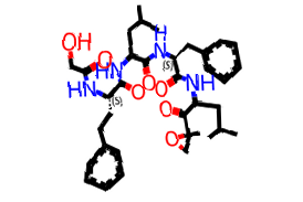 CC(C)CC(NC(=O)[C@H](CCc1ccccc1)NC(=O)CO)C(=O)N[C@@H](Cc1ccccc1)C(=O)NC(CC(C)C)C(=O)C1(C)CO1